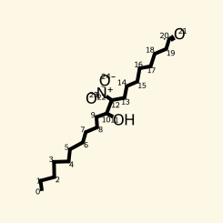 CCCCCCCCCCC(O)C(CCCCCCC[C]=O)[N+](=O)[O-]